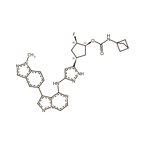 Cn1ncc2cc(-c3cnn4ccnc(Nc5cc([C@H]6C[C@@H](F)[C@@H](OC(=O)NC78CC(C7)C8)C6)[nH]n5)c34)ccc21